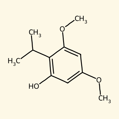 COc1cc(O)c(C(C)C)c(OC)c1